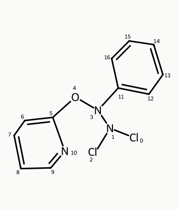 ClN(Cl)N(Oc1ccccn1)c1ccccc1